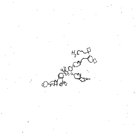 CCCC1(C2=C(CN3CCN(c4ccc(C(=O)NS(=O)(=O)c5ccc(NCC6(F)CCOCC6)c([N+](=O)[O-])c5)c(Oc5cnc6[nH]ccc6c5)c4)CC3)CCC3(CCC3)C2)CCC1